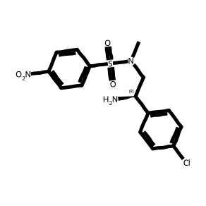 CN(C[C@H](N)c1ccc(Cl)cc1)S(=O)(=O)c1ccc([N+](=O)[O-])cc1